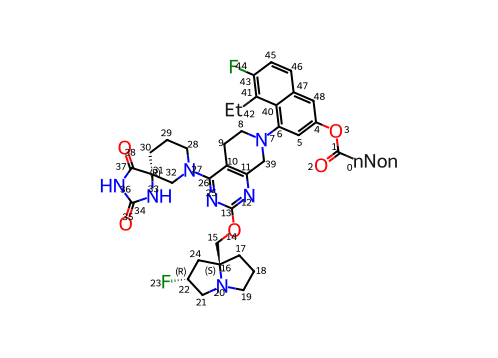 CCCCCCCCCC(=O)Oc1cc(N2CCc3c(nc(OC[C@@]45CCCN4C[C@H](F)C5)nc3N3CCC[C@]4(C3)NC(=O)NC4=O)C2)c2c(CC)c(F)ccc2c1